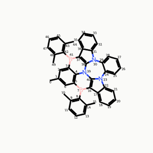 Cc1cc2c3c(c1)B(c1c(C)cccc1C)c1c4ccccc4n4c5ccccc5n5c6ccccc6c(c5n-3c14)B2c1c(C)cccc1C